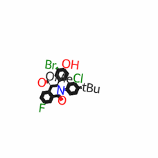 COC(=O)[C@H]1c2ccc(F)cc2C(=O)N(c2ccc(C(C)(C)C)c(Cl)c2)[C@@H]1c1ccc(O)c(Br)c1